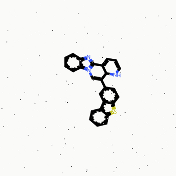 C1=CNC2C(c3ccc4sc5ccccc5c4c3)=Cn3c(nc4ccccc43)C2=C1